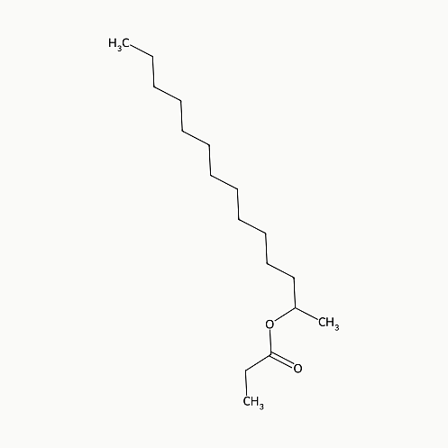 CCCCCCCCCCCCC(C)OC(=O)CC